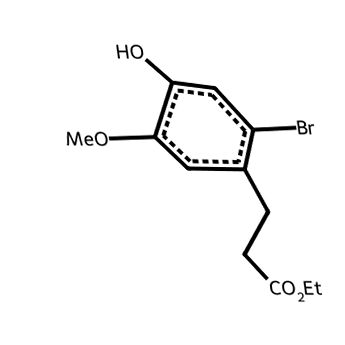 CCOC(=O)CCc1cc(OC)c(O)cc1Br